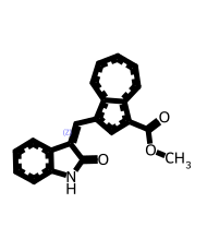 COC(=O)c1cc(/C=C2\C(=O)Nc3ccccc32)c2cccccc1-2